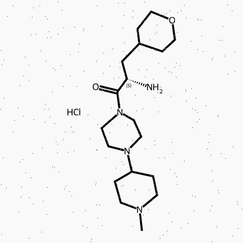 CN1CCC(N2CCN(C(=O)[C@@H](N)CC3CCOCC3)CC2)CC1.Cl